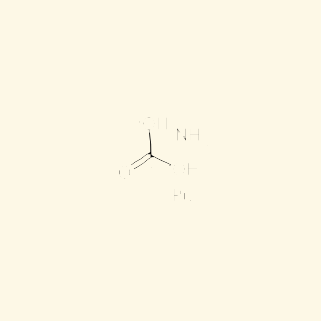 N.O=C(O)O.[Pu]